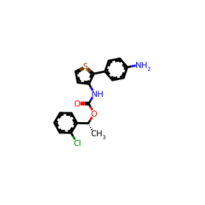 C[C@@H](OC(=O)Nc1ccsc1-c1ccc(N)cc1)c1ccccc1Cl